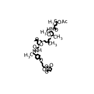 CC(=O)O[C@@H](C)C=CC(=O)N[C@@H]1C[C@H](C)[C@H](CC=C(C)C=C[C@@H]2C[C@@]3(CO3)C[C@@H](CC(=O)NN=C(C)c3ccc(OCCCC(=O)ON4C(=O)CCC4=O)cc3)O2)O[C@@H]1C